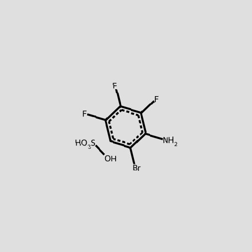 Nc1c(Br)cc(F)c(F)c1F.O=S(=O)(O)O